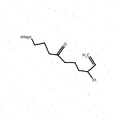 C=CC(CC)CCCC(=O)CCCCCCCCCC